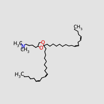 CCCC/C=C\C/C=C\CCCCCCCCCC1(CCCCCCCC/C=C\C/C=C\CCCCC)OCC(CCCCN(C)C)O1